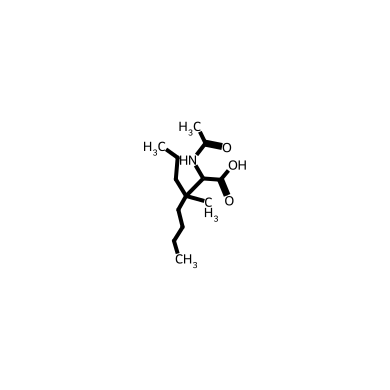 CCCCC(C)(CCC)C(NC(C)=O)C(=O)O